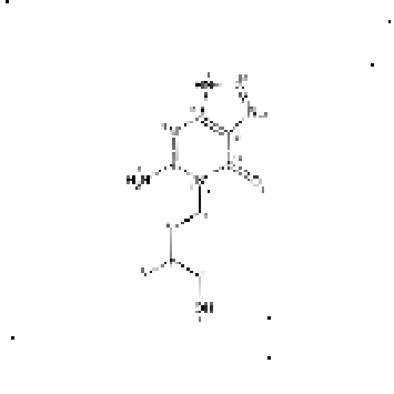 CC(CO)CCn1c(N)nc2[nH]cnc2c1=O